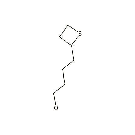 [O]CCCCC1CCS1